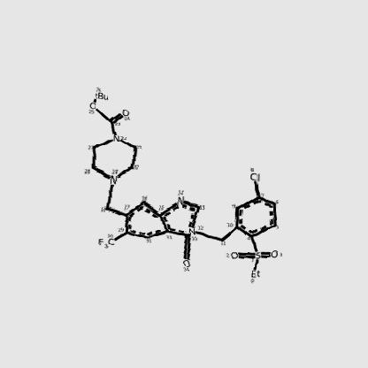 CCS(=O)(=O)c1ccc(Cl)cc1Cn1cnc2cc(CN3CCN(C(=O)OC(C)(C)C)CC3)c(C(F)(F)F)cc2c1=O